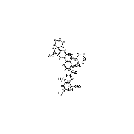 CCN(c1c(-c2ccc3c(c2)N(C(C)=O)CC32CCOCC2)ccc(C(=O)NCC2=C(C)C=C(C)NC2=C=O)c1C)C1CCOCC1